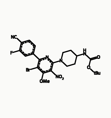 COc1c(Br)c(-c2ccc(C#N)c(F)c2)nc(N2CCC(NC(=O)OC(C)(C)C)CC2)c1[N+](=O)[O-]